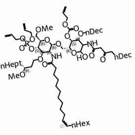 C=CCOC(=O)O[C@H]1[C@H](OCCCCCCCCCC)C(NC(=O)CC(=O)CCCCCCCCCCC)C(O)O[C@@H]1CO[C@@H]1O[C@H](COC)[C@@H](OP(=O)(OCC=C)OCC=C)[C@H](OCC[C@@H](CCCCCCC)OC)[C@H]1NC(=O)CCCCCCCCC/C=C\CCCCCC